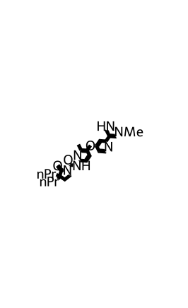 CCCC1(CCC)CCN(C(=O)Nc2ccc(Oc3ccnc(/C(C=N)=C/NC)c3)c(C)n2)C1=O